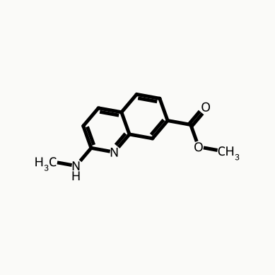 CNc1ccc2ccc(C(=O)OC)cc2n1